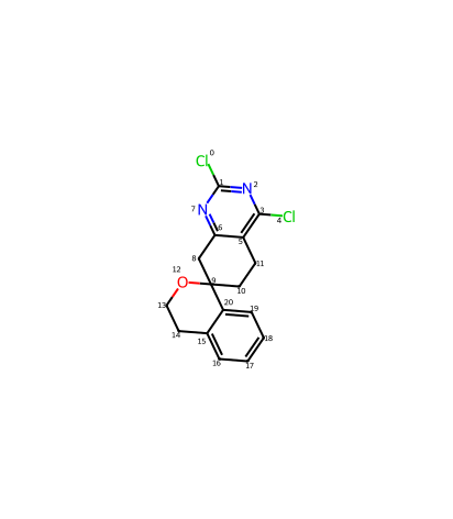 Clc1nc(Cl)c2c(n1)CC1(CC2)OCCc2ccccc21